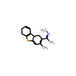 C/N=C(/C)C1=C(C)C=C2SC3=C(C=CCC3)C2C1